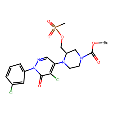 CC(C)(C)OC(=O)N1CCN(c2cnn(-c3cccc(Cl)c3)c(=O)c2Cl)C(COS(C)(=O)=O)C1